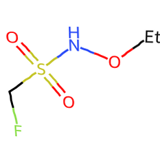 CCONS(=O)(=O)CF